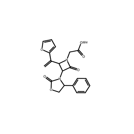 C=C(c1ccco1)C1C(N2C(=O)OCC2c2ccccc2)C(=O)N1CC(=O)OC